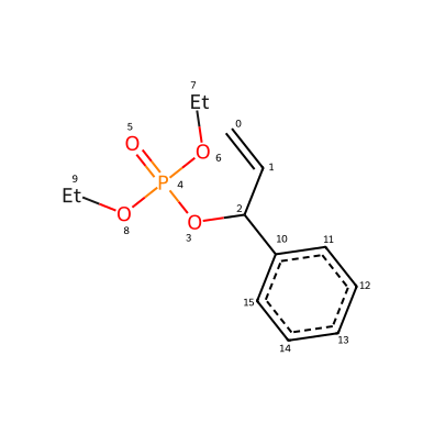 C=CC(OP(=O)(OCC)OCC)c1ccccc1